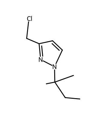 CCC(C)(C)n1ccc(CCl)n1